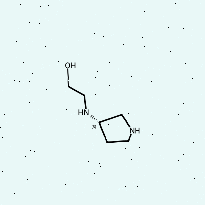 OCCN[C@H]1CCNC1